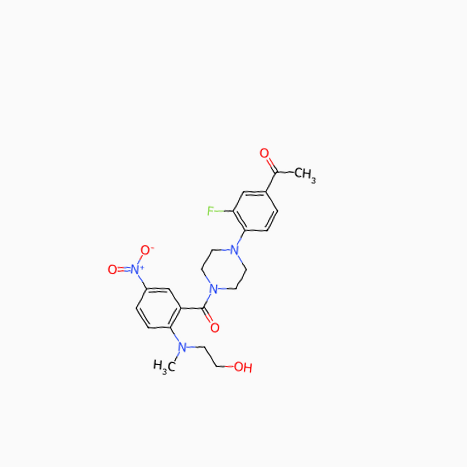 CC(=O)c1ccc(N2CCN(C(=O)c3cc([N+](=O)[O-])ccc3N(C)CCO)CC2)c(F)c1